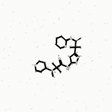 C[C@H](OC1CCCCO1)C(C)(C)C1=NOC(NC(=O)C(C)(C)N(C)C2CCOCC2)C1